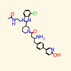 CC(=O)NCCn1c(C2CCCN(C(=O)CC(N)Cc3ccc(-c4ccc(O)nc4)cc3)C2)nc2c(Cl)cccc21